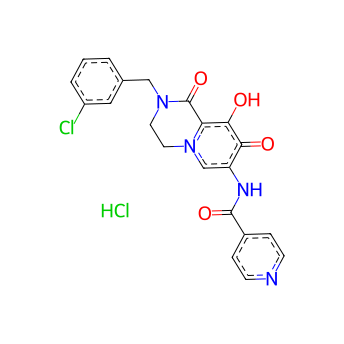 Cl.O=C(Nc1cn2c(c(O)c1=O)C(=O)N(Cc1cccc(Cl)c1)CC2)c1ccncc1